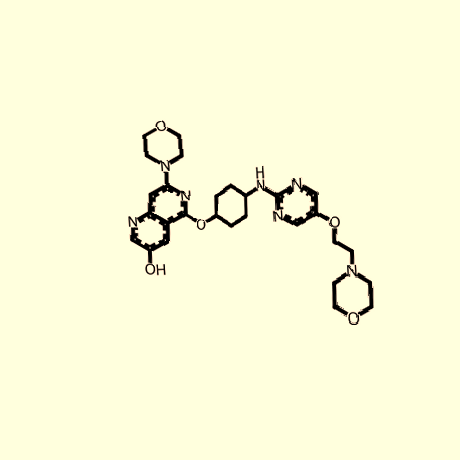 Oc1cnc2cc(N3CCOCC3)nc(OC3CCC(Nc4ncc(OCCN5CCOCC5)cn4)CC3)c2c1